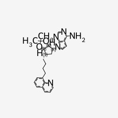 CC1(C)O[C@@H]2[C@@H](CCCCc3cccc4cccnc34)C[C@@H](n3ccc4c(N)ncnc43)[C@@H]2O1